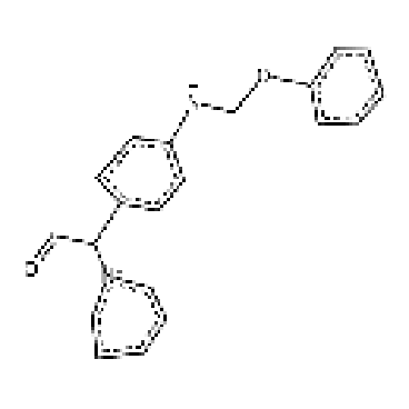 O=CC(c1ccc(NCOc2ccccc2)cc1)[n+]1ccccc1